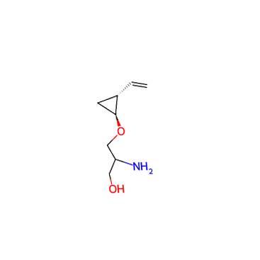 C=C[C@H]1C[C@@H]1OCC(N)CO